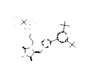 CN1C(=O)C(=Cn2cnc(-c3cc(C(F)(F)F)nc(C(F)(F)F)c3)n2)N(CCO[Si](C)(C)C(C)(C)C)C1=O